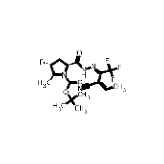 C/C=C(C#N)\C(=N/NC(=O)[C@@H]1C[C@@H](F)[C@H](C)N1C(=O)OC(C)(C)C)C(F)(F)F